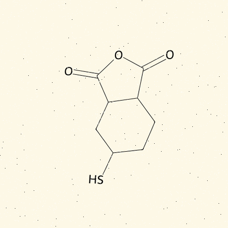 O=C1OC(=O)C2CC(S)CCC12